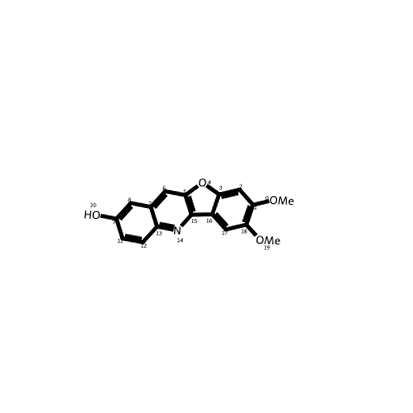 COc1cc2oc3cc4cc(O)ccc4nc3c2cc1OC